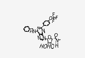 CNC(=O)[C@H]1O[C@H](n2cnc3c(NCc4ccccc4)nc(-c4ccc(OC(F)(F)F)cc4)nc32)[C@@H](O)[C@@H]1O